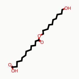 O=C(O)CCCCCCCCCCC(=O)OCCCCCCCCCCO